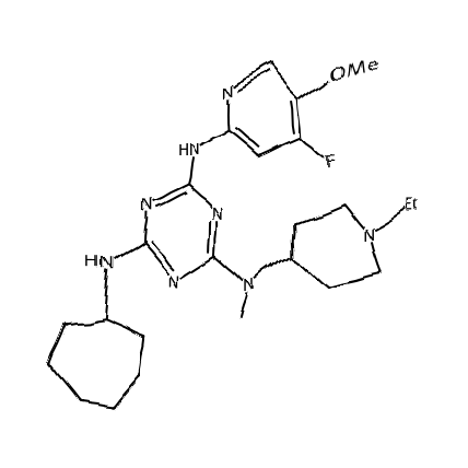 CCN1CCC(N(C)c2nc(Nc3cc(F)c(OC)cn3)nc(NC3CCCCCC3)n2)CC1